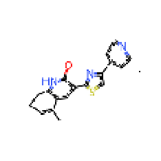 CC1=CCCc2[nH]c(=O)c(-c3nc(-c4ccncc4)cs3)cc21